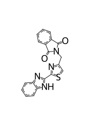 O=C1c2ccccc2C(=O)N1Cc1csc(-c2nc3ccccc3[nH]2)n1